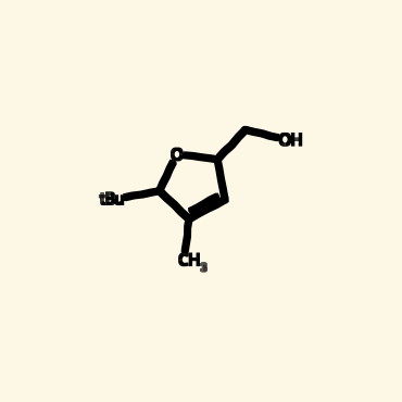 CC1=CC(CO)OC1C(C)(C)C